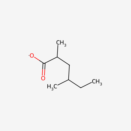 CCC(C)CC(C)C([O])=O